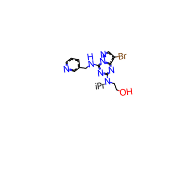 CC(C)N(CCO)c1nc(NCc2cccnc2)n2ncc(Br)c2n1